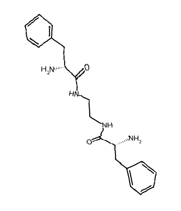 N[C@H](Cc1ccccc1)C(=O)NCCNC(=O)[C@H](N)Cc1ccccc1